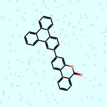 O=c1oc2cc(-c3ccc4c5ccccc5c5ccccc5c4c3)ccc2c2ccccc12